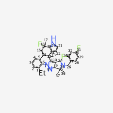 CCc1cccc2c1-n1nc3c(c1C1(C)C2=CC(C)(F)c2[nH]ccc21)CN(Cc1ccc(F)cc1F)C3(C)C